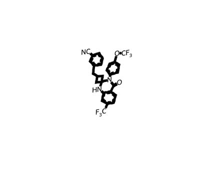 N#Cc1cccc(CC2CC3(C2)Nc2cc(C(F)(F)F)ccc2C(=O)N3c2ccc(OC(F)(F)F)cc2)c1